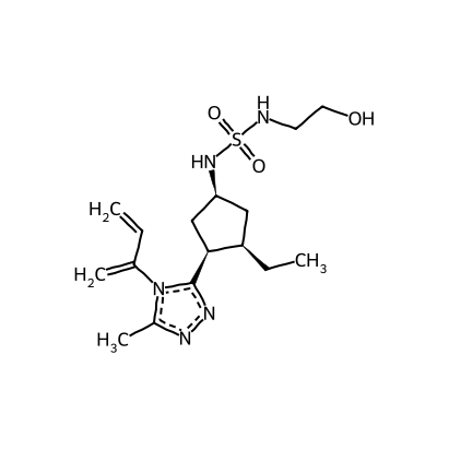 C=CC(=C)n1c(C)nnc1[C@H]1C[C@@H](NS(=O)(=O)NCCO)C[C@H]1CC